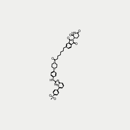 CS(=O)(=O)c1ccc(-c2cccc3nc(Nc4ccc(N5CCN(C(=O)CCCCCCc6ccc7c(c6)C(=O)N(C6CCC(=O)NC6=O)C7=O)CC5)cc4)nn23)cc1